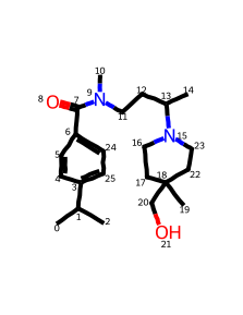 CC(C)c1ccc(C(=O)N(C)CCC(C)N2CCC(C)(CO)CC2)cc1